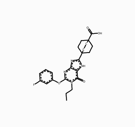 CCCn1c(Oc2cccc(F)c2)nc2nc(C34CCC(C(=O)O)(CC3)CC4)[nH]c2c1=O